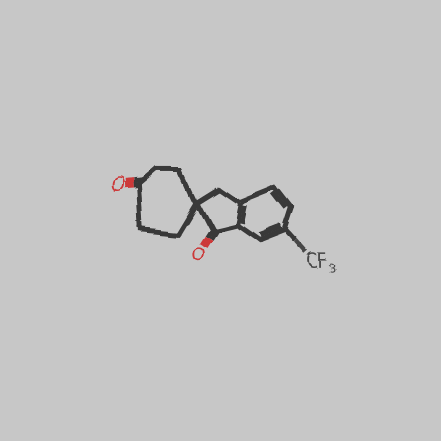 O=C1CCC2(CC1)Cc1ccc(C(F)(F)F)cc1C2=O